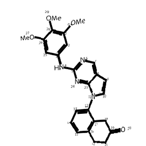 COc1cc(Nc2ncc3ccn(-c4cccc5c4CC(=O)CC5)c3n2)cc(OC)c1OC